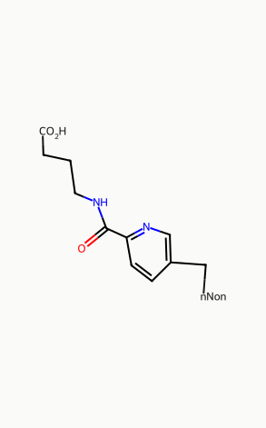 CCCCCCCCCCc1ccc(C(=O)NCCCC(=O)O)nc1